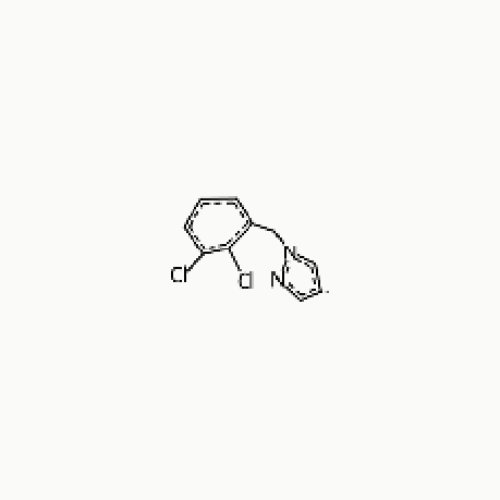 Clc1cccc(Cn2c[c]cn2)c1Cl